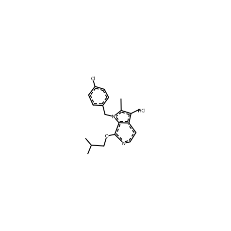 Cc1c(C)n(Cc2ccc(Cl)cc2)c2c(OCC(C)C)nccc12.Cl